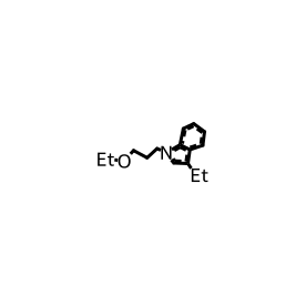 CCOCCCn1cc(CC)c2ccccc21